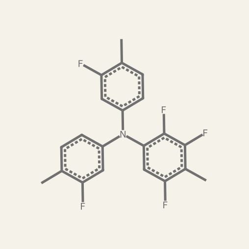 Cc1ccc(N(c2ccc(C)c(F)c2)c2cc(F)c(C)c(F)c2F)cc1F